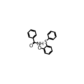 O=C(NOc1ccccc1Sc1ccccc1)c1ccccc1